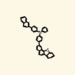 c1ccc(N(c2ccc(-c3ccc4ccccc4c3)cc2)c2ccc(-c3ccc4ccc5c6ccccc6sc5c4c3)cc2)cc1